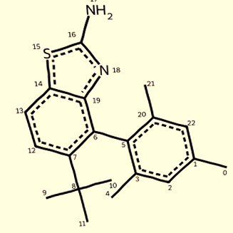 Cc1cc(C)c(-c2c(C(C)(C)C)ccc3sc(N)nc23)c(C)c1